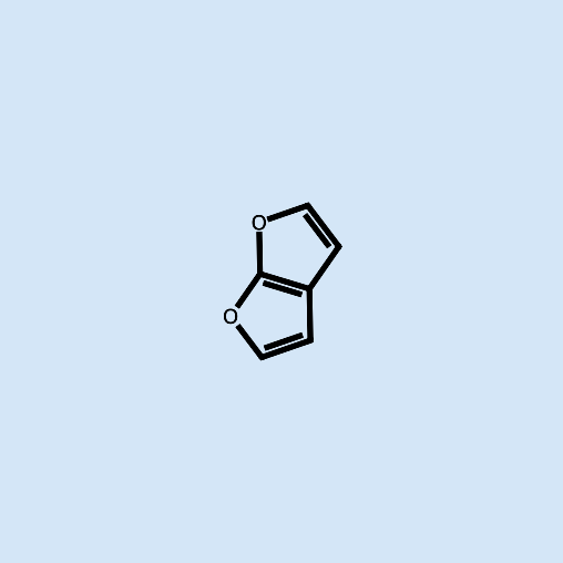 c1cc2ccoc2o1